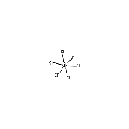 [F][Nb]([Cl])([Cl])([Cl])([Cl])[Cl]